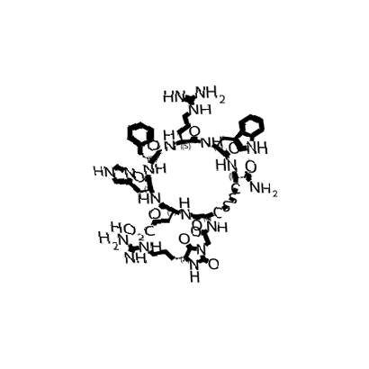 N=C(N)NCCC[C@@H]1NC(=O)[C@@H](Cc2ccccc2)NC(=O)[C@H](Cc2c[nH]cn2)NC(=O)[C@H](CCC(=O)O)NC(=O)[C@@H](NC(=O)CN2C(=O)N[C@H](CCCNC(=N)N)C2=O)CSSC[C@@H](C(N)=O)NC(=O)[C@H](Cc2c[nH]c3ccccc23)NC1=O